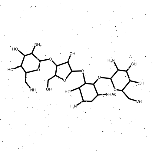 CC(=O)NC1CC(N)C(O)C(OC2OC(CO)C(OC3OC(CN)C(O)C(O)C3N)C2O)C1OC1OC(CO)C(O)C(O)C1N